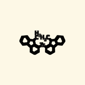 CC1c2ccccc2-c2ccc[c]([Zr][c]3cccc4c3C(C)c3ccccc3-4)c21